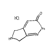 Cl.O=c1cc2c(n[nH]1)CNC2